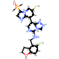 CP(C)(=O)c1cnc2c(-c3cnc(NCc4c(F)ccc5c4CCO5)n4cnnc34)cc(F)cn12